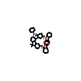 CC1(C)c2ccc(-n3c4ccccc4c4ccccc43)cc2-c2c1ccc1c2c2cc(-n3c4ccccc4c4ccccc43)ccc2n1-c1ccccc1